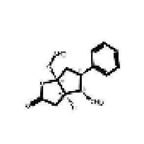 O=CO[C@@]12C[C@@H](c3ccccc3)[C@@H](C=O)[C@H]1CC(=O)O2